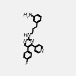 Nc1cccc(CCCNc2ncc(-c3ccc(F)cc3)c(-c3ccncc3)n2)c1